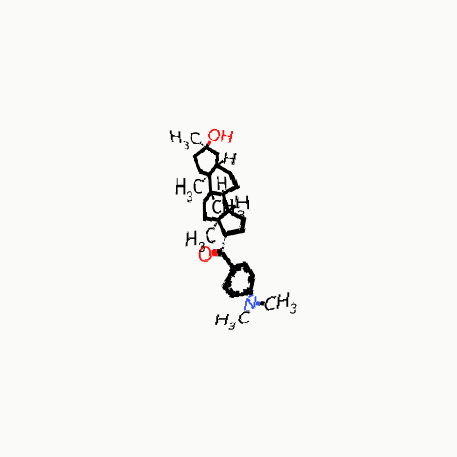 CN(C)c1ccc(C(=O)[C@H]2CC[C@H]3[C@@H]4CC[C@H]5C[C@](C)(O)CC[C@]5(C)[C@@]4(C)CC[C@]23C)cc1